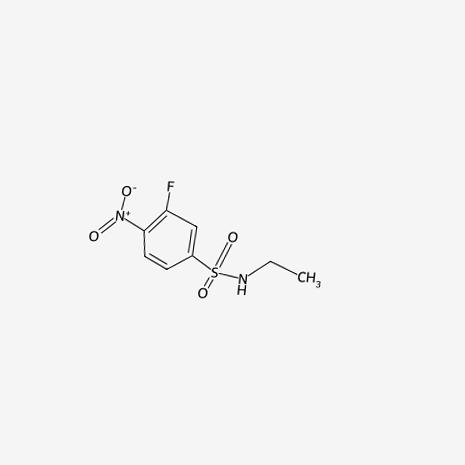 CCNS(=O)(=O)c1ccc([N+](=O)[O-])c(F)c1